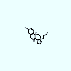 CCC=C[C@@]12CCC[C@H]1[C@@H]1CCc3cc(O)ccc3[C@H]1CC2